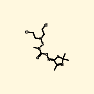 CC1=NC(C)(C)SC1=NOC(=O)N(C)SN(CCCl)CCCl